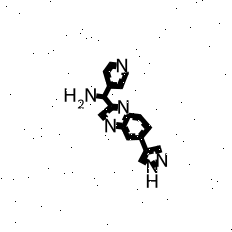 NC(c1ccncc1)c1cnc2cc(-c3cn[nH]c3)ccc2n1